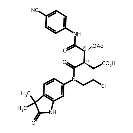 CC(=O)O[C@@H](C(=O)Nc1ccc(C#N)cc1)[C@@H](CC(=O)O)C(=O)N(CCCl)c1ccc2c(c1)NC(=O)C2(C)C